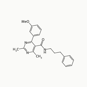 COc1cccc(-c2nc(C)nc(C)c2C(=O)NCCCc2ccccc2)c1